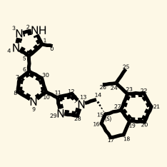 Cc1[nH]nnc1-c1ccnc(-c2cn(C[C@H]3CCCc4cccc(C(C)C)c43)cn2)c1